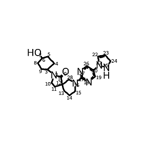 O=C1N(C2CCC(O)CC2)CCC12CCCN(c1ncc(N3C=CCN3)cn1)C2